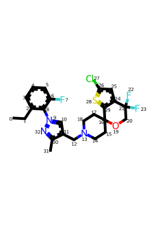 CCc1cccc(F)c1-n1cc(CN2CCC3(CC2)OCC(F)(F)c2cc(Cl)sc23)c(C)n1